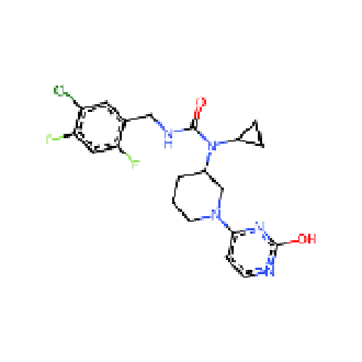 O=C(NCc1cc(Cl)c(F)cc1F)N(C1CC1)[C@@H]1CCCN(c2ccnc(O)n2)C1